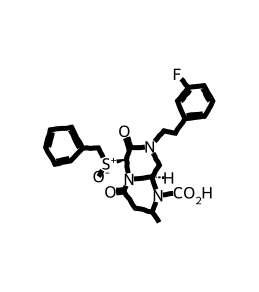 CC1CC(=O)N2[C@@H](CN(CCc3cccc(F)c3)C(=O)[C@@H]2[S+]([O-])Cc2ccccc2)N1C(=O)O